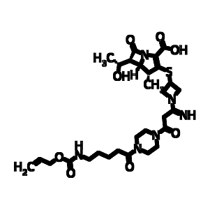 C=CCOC(=O)NCCCCC(=O)N1CCN(C(=O)CC(=N)N2CC(SC3=C(C(=O)O)N4C(=O)[C@H]([C@@H](C)O)[C@H]4[C@H]3C)C2)CC1